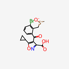 C[S+]([O-])Cc1c(Br)cccc1C(=O)c1c(C(=O)O)noc1C1CC1